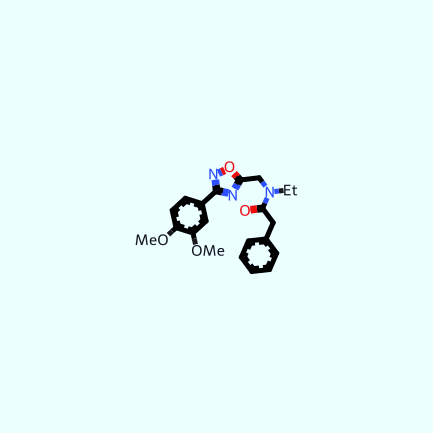 CCN(Cc1nc(-c2ccc(OC)c(OC)c2)no1)C(=O)Cc1ccccc1